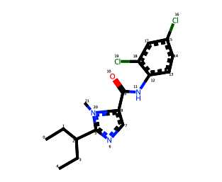 CCC(CC)c1ncc(C(=O)Nc2ccc(Cl)cc2Cl)n1C